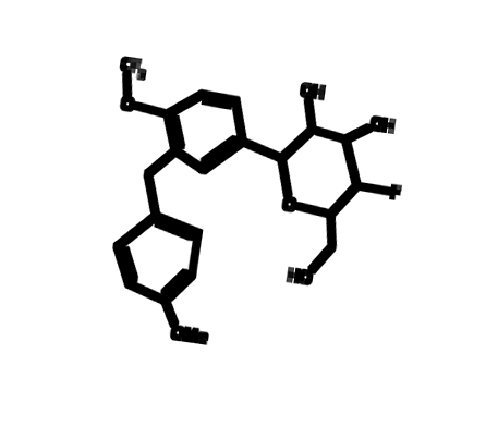 COc1ccc(Cc2cc(C3OC(CO)C(F)C(O)C3O)ccc2OC(F)(F)F)cc1